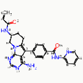 C=CC(=O)NC1CCc2c(-c3ccc(C(=O)Nc4ccccn4)cc3)c3c(N)ncnc3n2C1